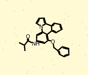 CC(C)C(=O)Nc1cc(OCc2ccccc2)c2c3ccccc3c3cccn3c2c1